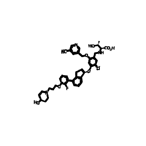 C[C@@H](O)[C@H](NCc1cc(Cl)c(O[C@H]2CCc3c(-c4cccc(OCCCN5CCC(O)CC5)c4F)cccc32)cc1OCc1cncc(C#N)c1)C(=O)O